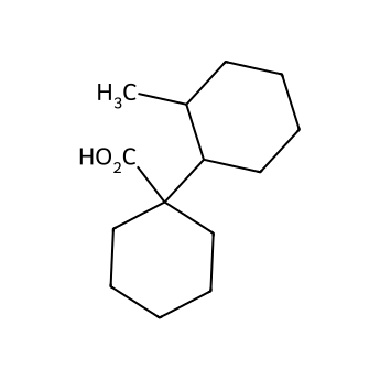 CC1CCCCC1C1(C(=O)O)CCCCC1